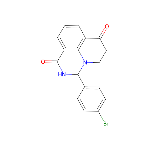 O=C1CCN2c3c1cccc3C(=O)NC2c1ccc(Br)cc1